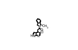 C[C@H]1c2ccccc2CN1C(=O)Cc1c(Cl)cnc2[nH]ccc12